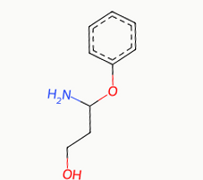 NC(CCO)Oc1ccccc1